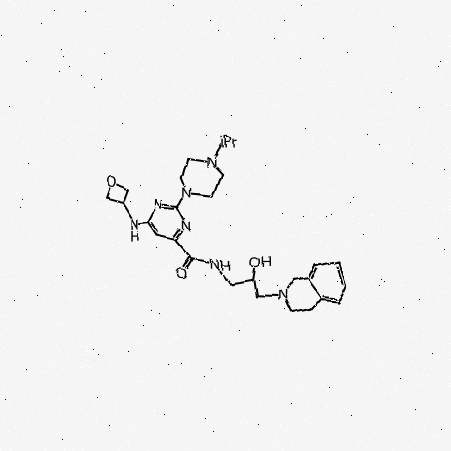 CC(C)N1CCN(c2nc(NC3COC3)cc(C(=O)NCC(O)CN3CCc4ccccc4C3)n2)CC1